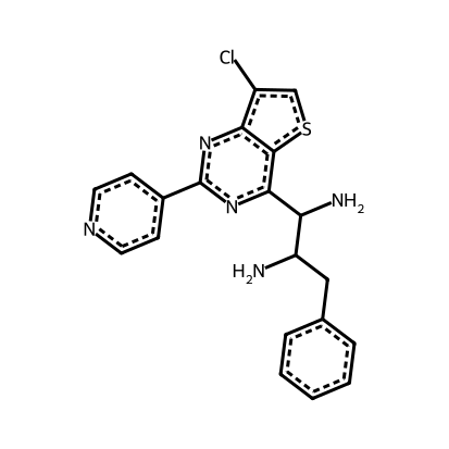 NC(Cc1ccccc1)C(N)c1nc(-c2ccncc2)nc2c(Cl)csc12